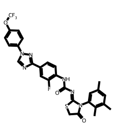 Cc1cc(C)c(C)c(N2C(=O)CSC2=NC(=O)Nc2ccc(-c3ncn(-c4ccc(OC(F)(F)F)cc4)n3)cc2F)c1